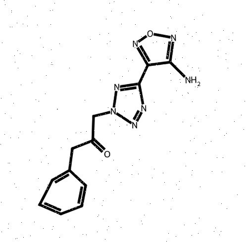 Nc1nonc1-c1nnn(CC(=O)Cc2ccccc2)n1